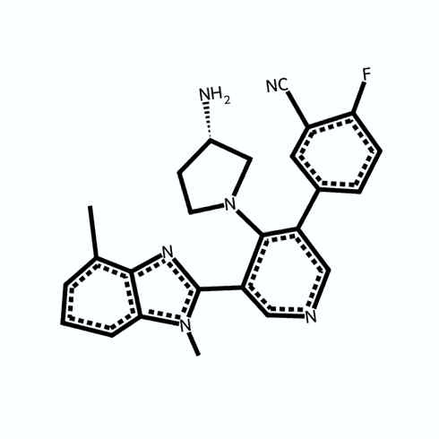 Cc1cccc2c1nc(-c1cncc(-c3ccc(F)c(C#N)c3)c1N1CC[C@H](N)C1)n2C